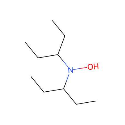 CCC(CC)N(O)C(CC)CC